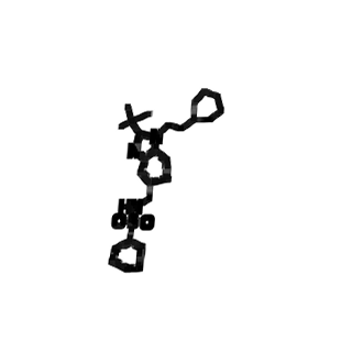 CC(C)(C)c1nc2cc(CNS(=O)(=O)c3ccccc3)ccc2n1CCC1CCCCC1